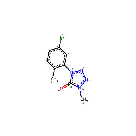 Cc1ccc(Br)cc1-n1nnn(C)c1=O